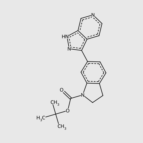 CC(C)(C)OC(=O)N1CCc2ccc(-c3n[nH]c4cnccc34)cc21